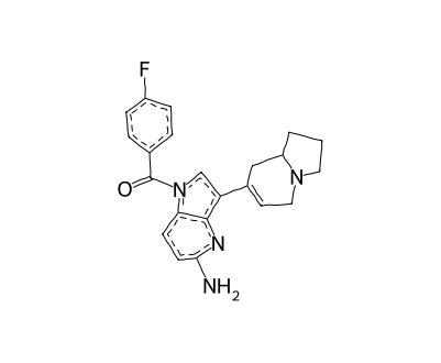 Nc1ccc2c(n1)c(C1=CCN3CCCC3C1)cn2C(=O)c1ccc(F)cc1